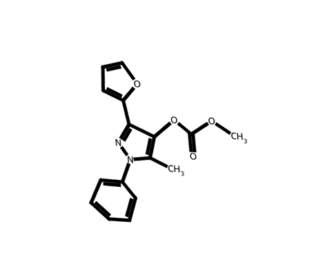 COC(=O)Oc1c(-c2ccco2)nn(-c2ccccc2)c1C